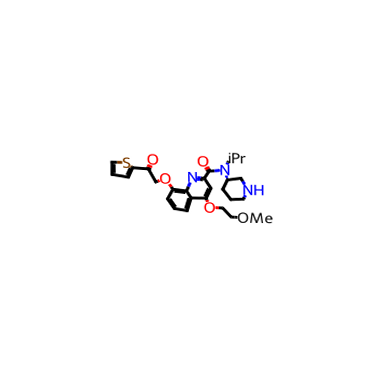 COCCOc1cc(C(=O)N(C(C)C)[C@@H]2CCCNC2)nc2c(OCC(=O)c3cccs3)cccc12